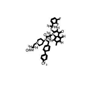 [2H]c1c(C)c([2H])c2c(c1[2H])c(=O)c([2H])c(SC([2H])([2H])c1cccc(F)c1F)n2C([2H])([2H])C(=O)N(Cc1ccc(-c2ccc(C(F)(F)F)cc2)cc1)C1CCN(CC([2H])([2H])OC)CC1